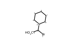 O=C(O)C(Br)N1CCCCC1